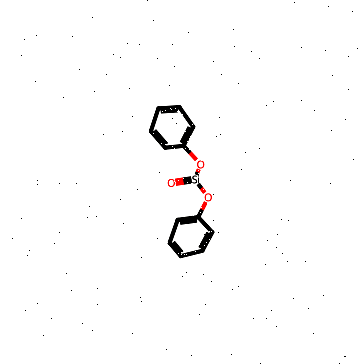 O=[Si](Oc1ccccc1)Oc1ccccc1